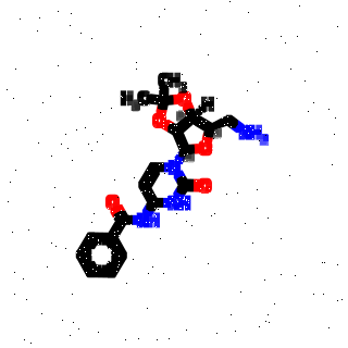 CC1(C)OC2[C@@H](O1)[C@@H](CN)O[C@H]2N1C=CC(NC(=O)c2ccccc2)NC1=O